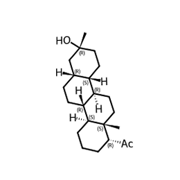 CC(=O)[C@@H]1CCC[C@H]2[C@@H]3CC[C@@H]4C[C@](C)(O)CC[C@@H]4[C@H]3CC[C@]12C